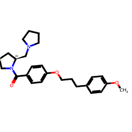 COc1ccc(CCCOc2ccc(C(=O)N3CCC[C@H]3CN3CCCC3)cc2)cc1